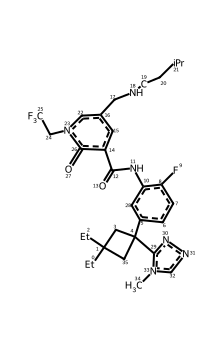 CCC1(CC)CC(c2ccc(F)c(NC(=O)c3cc(CNCCC(C)C)cn(CC(F)(F)F)c3=O)c2)(c2nncn2C)C1